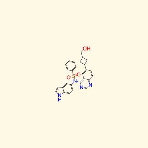 O=S(=O)(c1ccccc1)N(c1ccc2[nH]ccc2c1)c1ncnc2ccc(C3CC(CO)C3)cc12